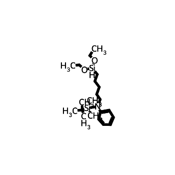 CCO[SiH](CCCCCN(c1ccccc1)[Si](C)(C)C(C)(C)C)OCC